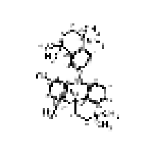 Cc1cc(Cl)cc(N(c2ccc3c(c2)C(C)(C)CCC3(C)C)c2cccc3c2C(C)(C)CCC3(C)C)c1